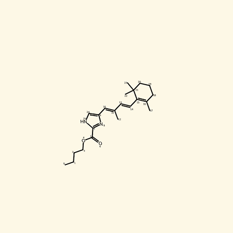 CCCCOC(=O)c1nc(/C=C(\C)C=CC2=C(C)CCCC2(C)C)c[nH]1